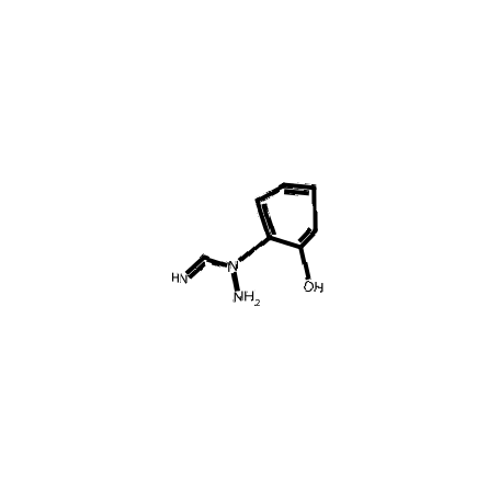 N=CN(N)c1ccccc1O